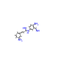 N=Cc1cc(NC(=N)/C=C/c2cccc(N)c2)ccc1N